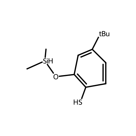 C[SiH](C)Oc1cc(C(C)(C)C)ccc1S